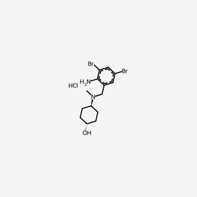 CN(Cc1cc(Br)cc(Br)c1N)[C@H]1CC[C@H](O)CC1.Cl